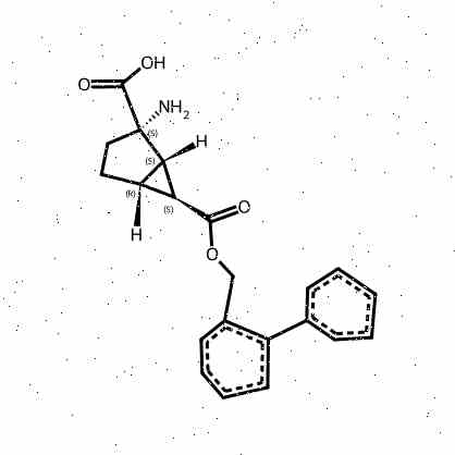 N[C@@]1(C(=O)O)CC[C@H]2[C@H](C(=O)OCc3ccccc3-c3ccccc3)[C@H]21